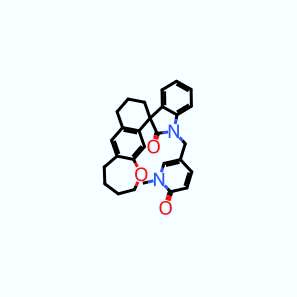 Cn1cc(CN2C(=O)C3(CCCc4cc5c(cc43)OCCCC5)c3ccccc32)ccc1=O